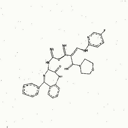 N=C(NC1N=C(c2ccccc2)c2ccccc2NC1=O)OC(=N)/C(=C/Nc1ccc(F)cn1)C(=N)N1CCOCC1